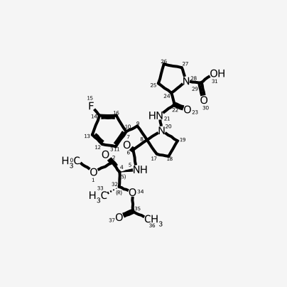 COC(=O)[C@@H](NC(=O)C1(Cc2cccc(F)c2)CCCN1NC(=O)C1CCCN1C(=O)O)[C@@H](C)OC(C)=O